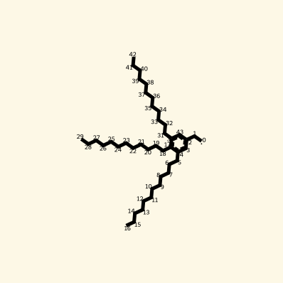 [CH2]Cc1cc(CCCCCCCCCCCC)c(CCCCCCCCCCCC)c(CCCCCCCCCCCC)c1